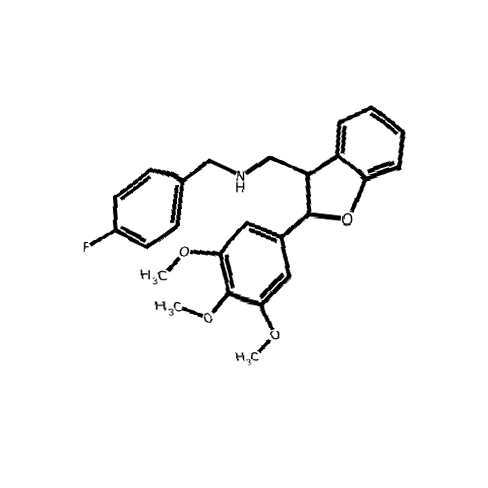 COc1cc(C2Oc3ccccc3C2CNCc2ccc(F)cc2)cc(OC)c1OC